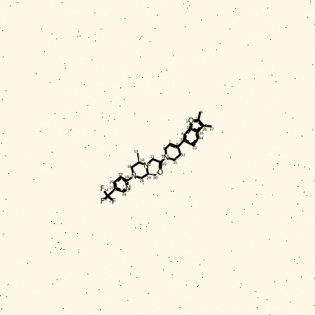 Cc1oc2cc(C3=CCN(C(=O)CN4[C@H](C)CN(c5ccc(C(F)(F)F)cn5)C[C@@H]4C)CC3)ccc2c1C